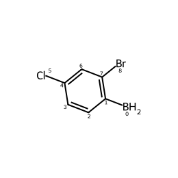 Bc1ccc(Cl)cc1Br